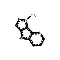 Cn1ncc2[nH]c3cccnc3c21